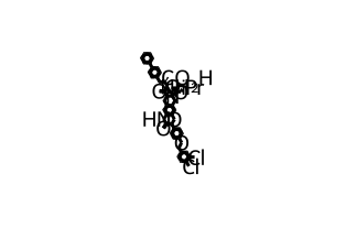 CC(C)OC(=O)N1Cc2cc3c(cc2CC1C(=O)N[C@@H](Cc1ccc(-c2ccccc2)cc1)C(=O)O)NC(=O)C(c1ccc(OCc2ccc(Cl)c(Cl)c2)cc1)O3